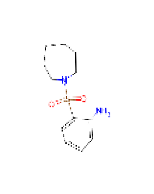 Nc1ccccc1S(=O)(=O)N1CCCCCC1